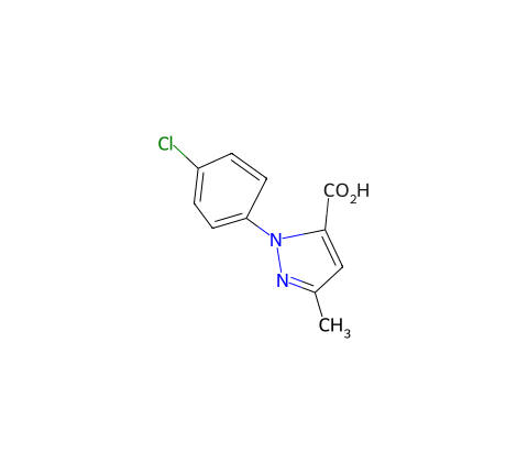 Cc1cc(C(=O)O)n(-c2ccc(Cl)cc2)n1